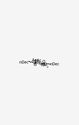 CCCCCCCCCCCCCCOC(=O)[C@@H](N)CSSC[C@@H](C(=O)OCCCCCCCCCCCCCC)N(C(C)=O)C(C)=O